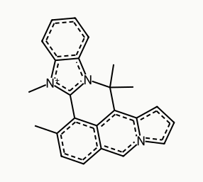 Cc1ccc2cn3cccc3c3c2c1-c1n(c2ccccc2[n+]1C)C3(C)C